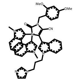 COc1ccc(CN2C(=O)[N+](c3cn(C)c4ccccc34)(c3cn(C)c4ccccc34)C(c3cn(CCCn4ccnc4)c4ccccc34)=C2C#N)c(OC)c1